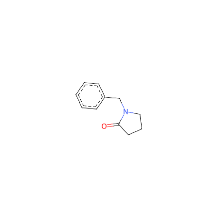 O=C1CCCN1Cc1ccccc1